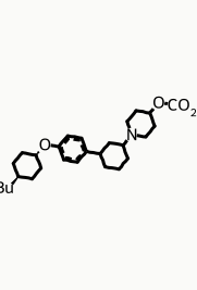 CC(C)(C)[C@H]1CC[C@H](Oc2ccc(C3CCCC(N4CCC(OC(=O)O)CC4)C3)cc2)CC1